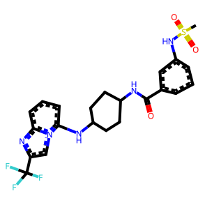 CS(=O)(=O)Nc1cccc(C(=O)NC2CCC(Nc3cccc4nc(C(F)(F)F)cn34)CC2)c1